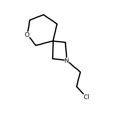 ClCCN1CC2(CCCOC2)C1